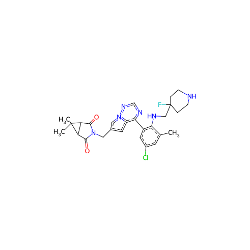 Cc1cc(Cl)cc(-c2ncnn3cc(CN4C(=O)C5C(C4=O)C5(C)C)cc23)c1NCC1(F)CCNCC1